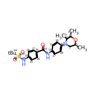 CC1[C@@H](C)O[C@@H](C)CN1c1ccc(NC(=O)c2ccc(NS(=O)(=O)C(C)(C)C)cc2)cc1